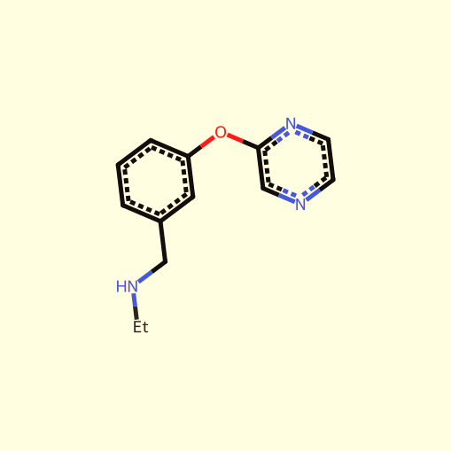 CCNCc1cccc(Oc2cnccn2)c1